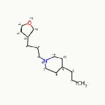 [CH2]CCC1CCN(CCCC2CCOC2)CC1